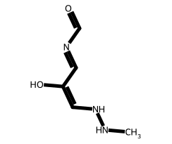 CNN/C=C(/O)C=NC=O